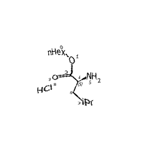 CCCCCCOC(=O)[C@@H](N)CC(C)C.Cl